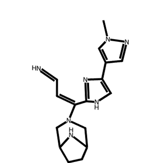 Cn1cc(-c2c[nH]c(/C(=C\C=N)N3CC4CCC(C3)N4)n2)cn1